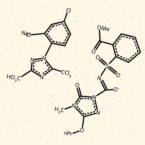 CCCOc1nn(/C([O-])=N/S(=O)(=O)c2ccccc2C(=O)OC)c(=O)n1C.O=C(O)c1nc(C(Cl)(Cl)Cl)n(-c2ccc(Cl)cc2Cl)n1.[Na+]